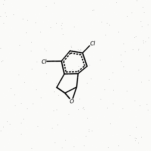 Clc1cc(Cl)c2c(c1)C1OC1C2